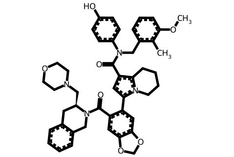 COc1cccc(CN(C(=O)c2cc(-c3cc4c(cc3C(=O)N3Cc5ccccc5C[C@H]3CN3CCOCC3)OCO4)n3c2CCCC3)c2ccc(O)cc2)c1C